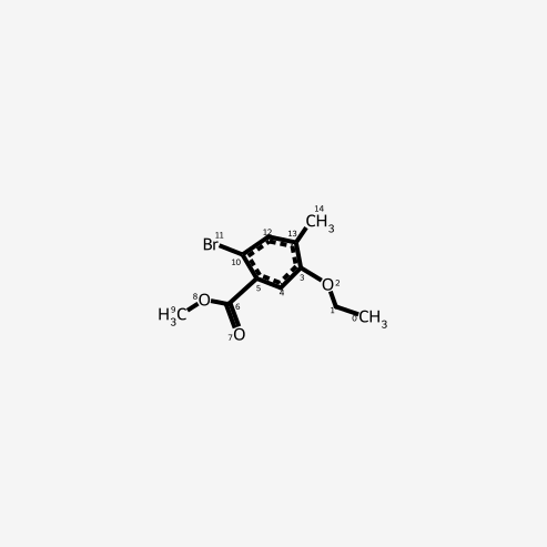 CCOc1cc(C(=O)OC)c(Br)cc1C